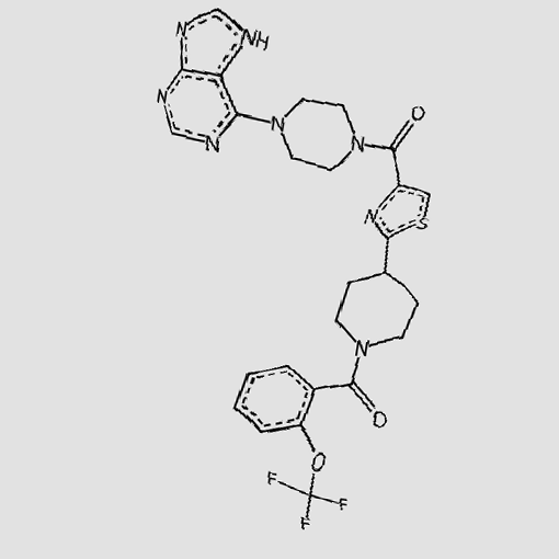 O=C(c1csc(C2CCN(C(=O)c3ccccc3OC(F)(F)F)CC2)n1)N1CCN(c2ncnc3nc[nH]c23)CC1